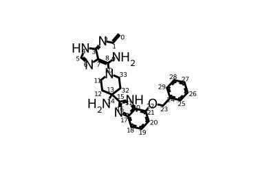 C=C/N=C1/NC=N/C1=C(/N)N1CCC(N)(c2nc3cccc(OCc4ccccc4)c3[nH]2)CC1